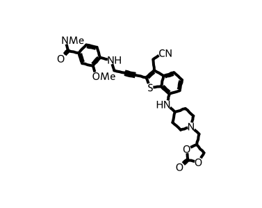 CNC(=O)c1ccc(NCC#Cc2sc3c(NC4CCN(CC5COC(=O)O5)CC4)cccc3c2CC#N)c(OC)c1